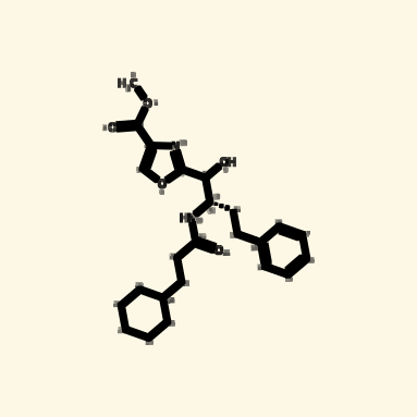 COC(=O)c1coc(C(O)[C@H](CCc2ccccc2)NC(=O)CCC2CCCCC2)n1